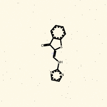 O=C1/C(=C/Nc2nccs2)Sc2ccccc21